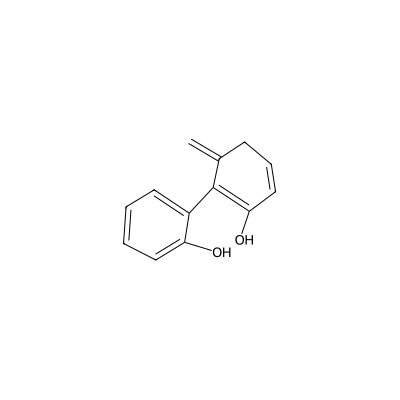 C=C1CC=CC(O)=C1c1ccccc1O